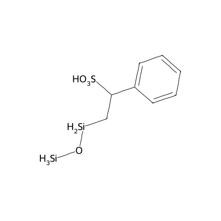 O=S(=O)(O)C(C[SiH2]O[SiH3])c1ccccc1